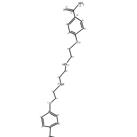 N=C(N)c1ccc(OCCNCCNCCOc2ccc(C(=N)N)cc2)cc1